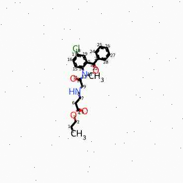 CCCOC(=O)CCNCC(=O)N(C)c1ccc(Cl)cc1C(=O)c1ccccc1